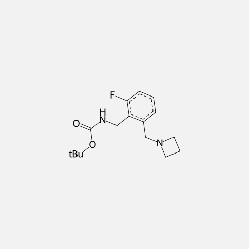 CC(C)(C)OC(=O)NCc1c(F)cccc1CN1CCC1